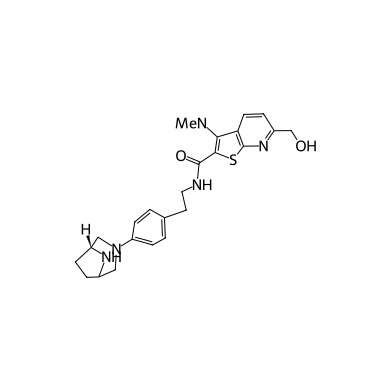 CNc1c(C(=O)NCCc2ccc(N3CC4CC[C@H](C3)N4)cc2)sc2nc(CO)ccc12